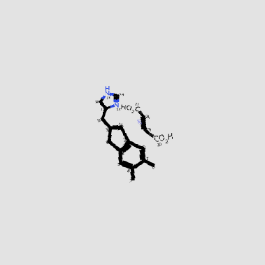 Cc1cc2c(cc1C)CC(CC1CNC=N1)C2.O=C(O)/C=C/C(=O)O